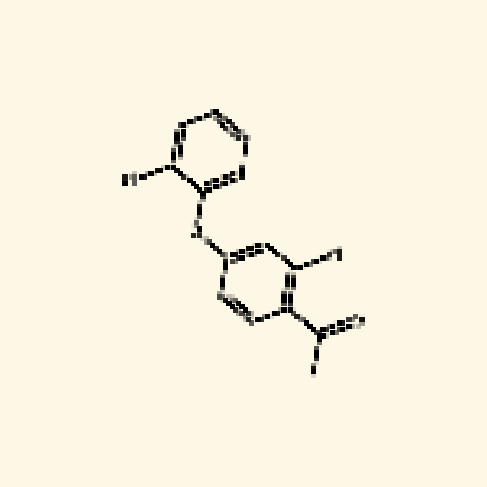 CC(=O)c1ccc(Oc2ccccc2Cl)cc1Cl